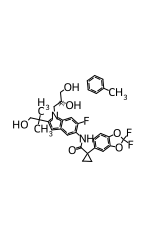 CC(C)(CO)c1cc2cc(NC(=O)C3(c4ccc5c(c4)OC(F)(F)O5)CC3)c(F)cc2n1C[C@@H](O)CO.Cc1ccccc1